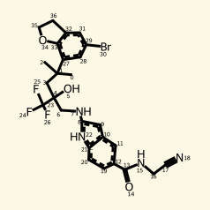 CC(C)(CC(O)(CNc1cc2cc(C(=O)NCC#N)ccc2[nH]1)C(F)(F)F)c1cc(Br)cc2c1OCC2